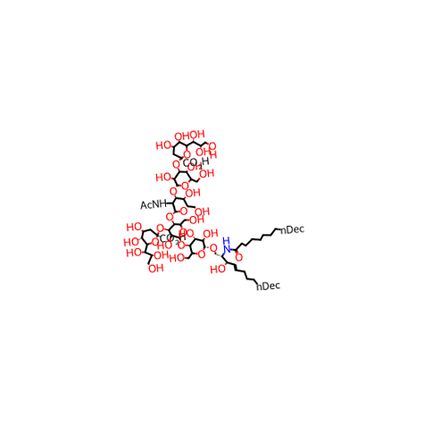 CCCCCCCCCCCCC/C=C/[C@@H](O)[C@H](CO[C@@H]1OC(CO)[C@@H](O[C@@H]2OC(CO)[C@H](O[C@@H]3OC(CO)[C@H](O)[C@H](O[C@@H]4OC(CO)[C@H](O)[C@H](O[C@]5(C(=O)O)CC(O)[C@@H](O)C([C@H](O)[C@H](O)CO)O5)C4O)C3NC(C)=O)[C@H](O[C@]3(C(=O)O)CC(O)[C@@H](O)C([C@H](O)[C@H](O)CO)O3)C2O)[C@H](O)C1O)NC(=O)CCCCCCCCCCCCCCCCC